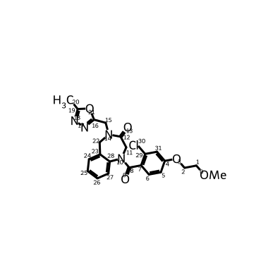 COCCOc1ccc(C(=O)N2CC(=O)N(Cc3nnc(C)o3)Cc3ccccc32)c(Cl)c1